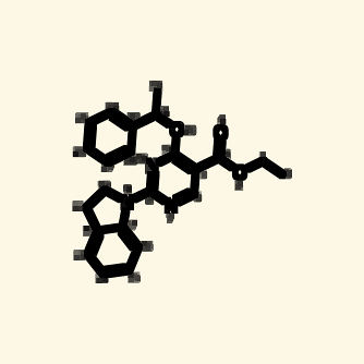 CCOC(=O)c1cnc(N2CCc3ccccc32)nc1OC(C)c1ccccc1